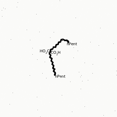 CCCCCC=CCC=CCCCCCCCCC(CCCCCCCC/C=C\C/C=C\CCCCC)(C(=O)O)C(=O)O